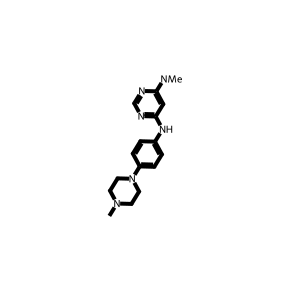 CNc1cc(Nc2ccc(N3CCN(C)CC3)cc2)ncn1